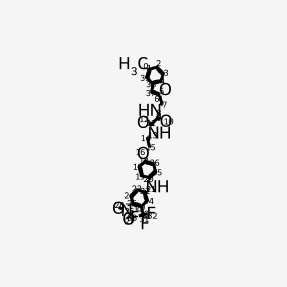 Cc1ccc2oc(CNC(=O)C(=O)NCCOc3ccc(Nc4ccc([N+](=O)[O-])c(C(F)(F)F)c4)cc3)cc2c1